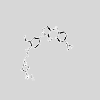 CCc1cc(N2CC=C(Oc3ccc(C4CC4)cc3)C2=O)ccc1OCCN1CC(N)C1